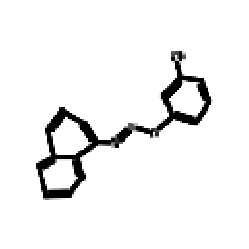 Oc1cccc(ON=Nc2cccc3ccccc23)c1